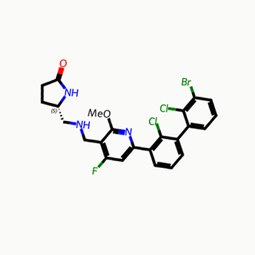 COc1nc(-c2cccc(-c3cccc(Br)c3Cl)c2Cl)cc(F)c1CNC[C@@H]1CCC(=O)N1